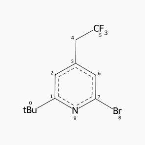 CC(C)(C)c1cc(CC(F)(F)F)cc(Br)n1